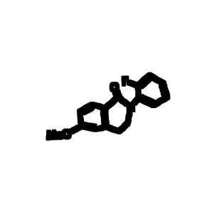 COc1ccc2c(c1)CCN(c1ccccc1F)C2=O